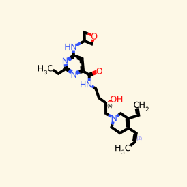 C=CC1=C(/C=C\C)CCN(C[C@@H](O)CCNC(=O)c2cc(NC3COC3)nc(CC)n2)C1